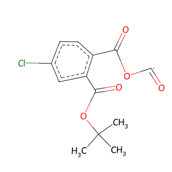 CC(C)(C)OC(=O)c1cc(Cl)ccc1C(=O)O[C]=O